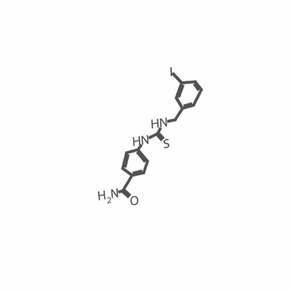 NC(=O)c1ccc(NC(=S)NCc2cccc(I)c2)cc1